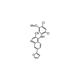 COc1cc(Nc2c(C#N)cnc3cc(-c4ccco4)ccc23)c(Cl)cc1Cl